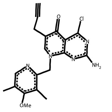 C#CCc1cn(Cc2ncc(C)c(OC)c2C)c2nc(N)nc(Cl)c2c1=O